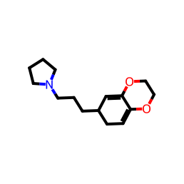 C1=C2OCCOC2=CC(CCCN2CCCC2)C1